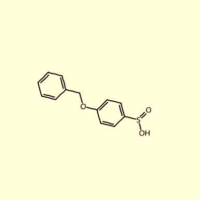 O=S(O)c1ccc(OCc2ccccc2)cc1